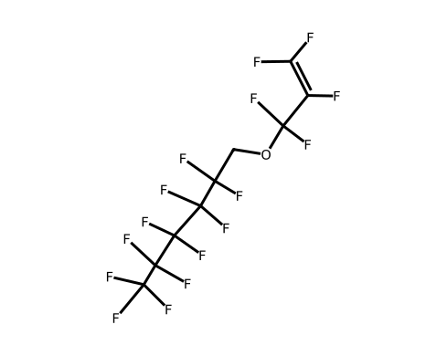 FC(F)=C(F)C(F)(F)OCC(F)(F)C(F)(F)C(F)(F)C(F)(F)C(F)(F)F